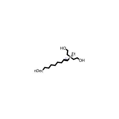 CCCCCCCCCCCCCCCC/C=C/[N+](CC)(CCO)CCO